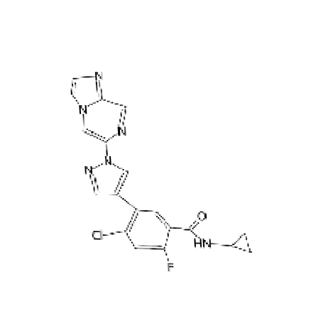 O=C(NC1CC1)c1cc(-c2cnn(-c3cn4ccnc4cn3)c2)c(Cl)cc1F